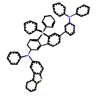 C1=CC([Si]2(c3ccccc3)C3=CCC(N(c4ccccc4)c4ccc5sc6ccccc6c5c4)C=C3c3ccc(-c4cccc(N(c5ccccc5)c5ccccc5)c4)cc32)=CCC1